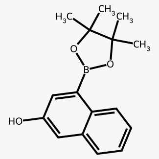 CC1(C)OB(c2cc(O)cc3ccccc23)OC1(C)C